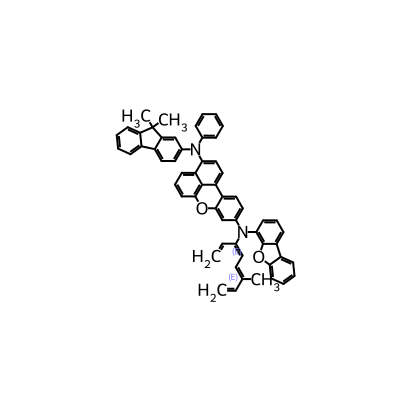 C=C/C(C)=C/C=C(\C=C)N(c1ccc2c(c1)Oc1cccc3c(N(c4ccccc4)c4ccc5c(c4)C(C)(C)c4ccccc4-5)ccc-2c13)c1cccc2c1oc1ccccc12